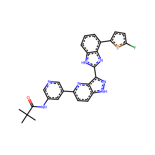 CC(C)(C)C(=O)Nc1cncc(-c2ccc3[nH]nc(-c4nc5c(-c6ccc(F)s6)cccc5[nH]4)c3n2)c1